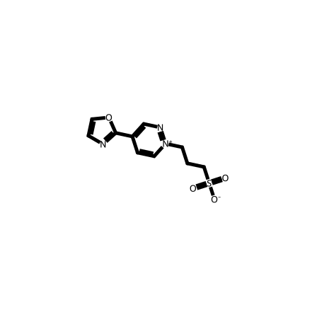 O=S(=O)([O-])CCC[n+]1ccc(-c2ncco2)cn1